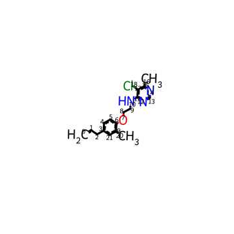 C=CCc1ccc(OCCNc2ncnc(C)c2Cl)c(C)c1